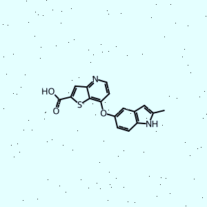 Cc1cc2cc(Oc3ccnc4cc(C(=O)O)sc34)ccc2[nH]1